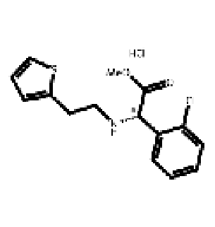 COC(=O)[C@@H](NCCc1cccs1)c1ccccc1Cl.Cl